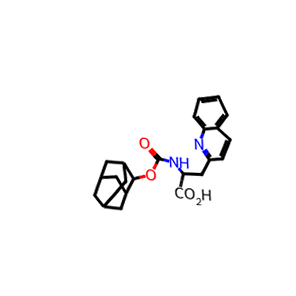 O=C(NC(Cc1ccc2ccccc2n1)C(=O)O)OC1C2CC3CC(C2)CC1C3